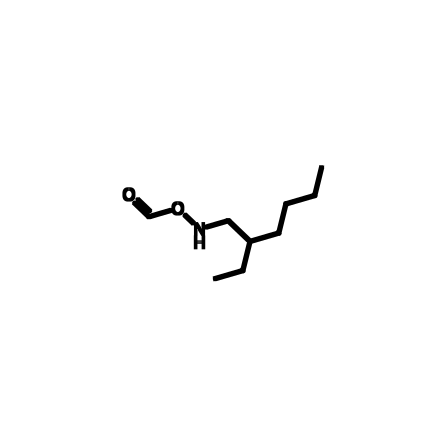 CCCCC(CC)CNOC=O